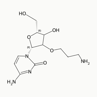 NCCCOC1C(O)[C@@H](CO)O[C@H]1n1ccc(N)nc1=O